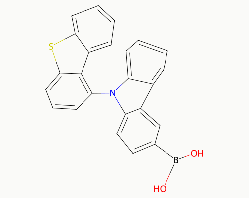 OB(O)c1ccc2c(c1)c1ccccc1n2-c1cccc2sc3ccccc3c12